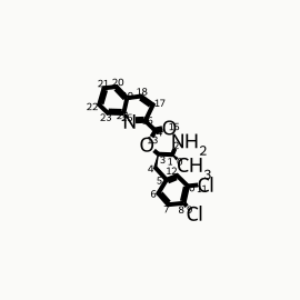 C[C@H](N)[C@@H](Cc1ccc(Cl)c(Cl)c1)OC(=O)c1ccc2ccccc2n1